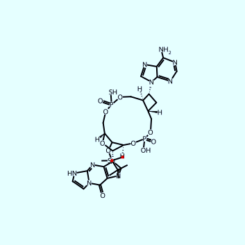 CC(C)(C)[Si](C)(C)OC1[C@H]2OP(=O)(O)OC[C@H]3C[C@@H](n4cnc5c(N)ncnc54)[C@@H]3COP(=O)(S)OC[C@H]1O[C@H]2n1cnc2c(=O)n3cc[nH]c3nc21